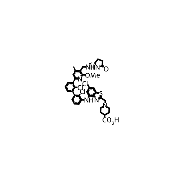 COc1nc(-c2cccc(-c3cccc(Nc4cc(Cl)cc5sc(CN6CCC(C(=O)O)CC6)nc45)c3Cl)c2Cl)cc(C)c1CNC[C@@H]1CCC(=O)N1